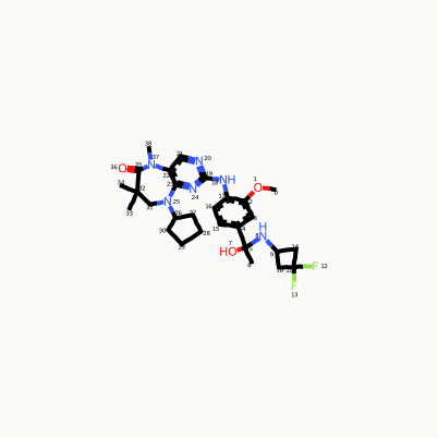 COc1cc(C(C)(O)NC2CC(F)(F)C2)ccc1Nc1ncc2c(n1)N(C1CCCC1)CC(C)(C)C(=O)N2C